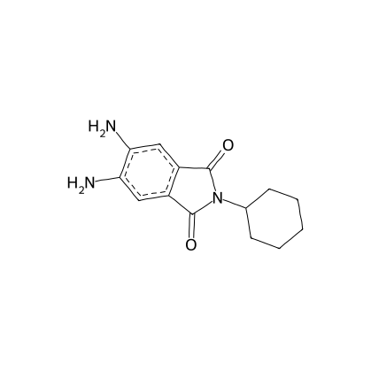 Nc1cc2c(cc1N)C(=O)N(C1CCCCC1)C2=O